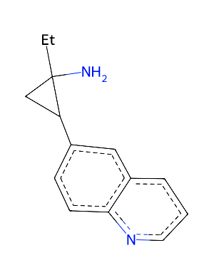 CCC1(N)CC1c1ccc2ncccc2c1